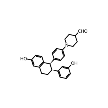 O=CC1CCN(c2ccc([C@@H]3c4ccc(O)cc4CC[C@@H]3c3cccc(O)c3)cc2)CC1